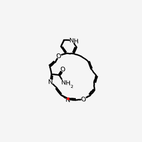 NC(=O)C1=N\C=C2\CC(=N2)O\C=C/C=C/C=C/CC2=CNCC=C2O\C=C\1